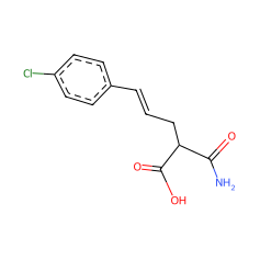 NC(=O)C(CC=Cc1ccc(Cl)cc1)C(=O)O